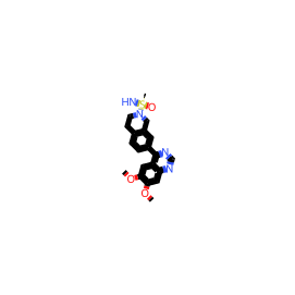 COc1cc2ncnc(-c3ccc4c(c3)CN([S@@](C)(=N)=O)CC4)c2cc1OC